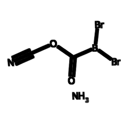 N.N#COC(=O)B(Br)Br